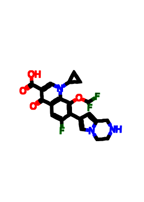 O=C(O)c1cn(C2CC2)c2c(OC(F)F)c(-c3cc4n(c3)CCNC4)c(F)cc2c1=O